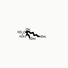 CCCCCCCCCCCCCCCCC(O)(C(=O)O)C(CCCCCCCC)CCCCCCCCCCC